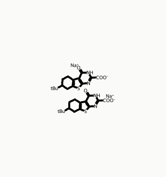 CC(C)(C)C1CCc2c(sc3nc(C(=O)[O-])[nH]c(=O)c23)C1.CC(C)(C)C1CCc2c(sc3nc(C(=O)[O-])[nH]c(=O)c23)C1.[Na+].[Na+]